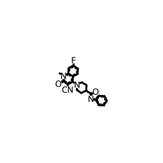 Cn1c(=O)c(C#N)c(N2CCC(c3nc4ccccc4o3)CC2)c2ccc(F)cc21